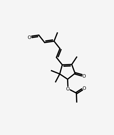 CC(=O)OC1C(=O)C(C)=C(C=CC(C)=CC=O)C1(C)C